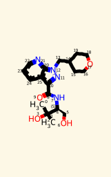 CC(C)(O)[C@H](CO)NC(=O)c1nn(CC2CCOCC2)c2ncccc12